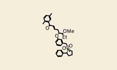 CCC(OC)C(C/C=C/C(=O)c1cc(C)ccc1C)Oc1cccc(CS(=O)(=O)N2CCCC2c2ccccc2)c1